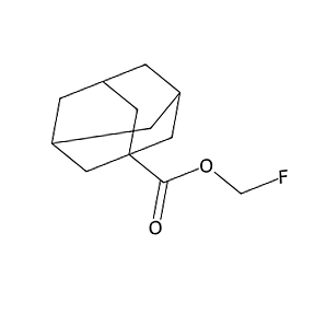 O=C(OCF)C12CC3CC(CC(C3)C1)C2